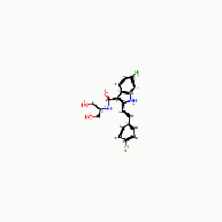 O=C(NC(CO)CO)c1c(C=Cc2ccc(Cl)cc2)[nH]c2cc(Br)ccc12